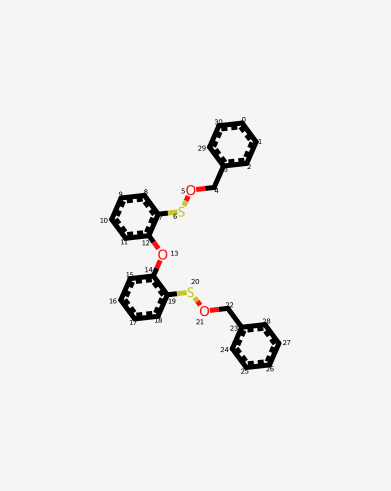 c1ccc(COSc2ccccc2Oc2ccccc2SOCc2ccccc2)cc1